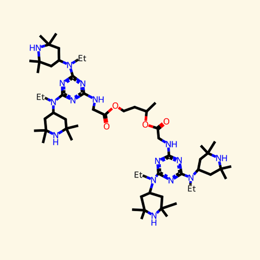 CCN(c1nc(NCC(=O)OCCC(C)OC(=O)CNc2nc(N(CC)C3CC(C)(C)NC(C)(C)C3)nc(N(CC)C3CC(C)(C)NC(C)(C)C3)n2)nc(N(CC)C2CC(C)(C)NC(C)(C)C2)n1)C1CC(C)(C)NC(C)(C)C1